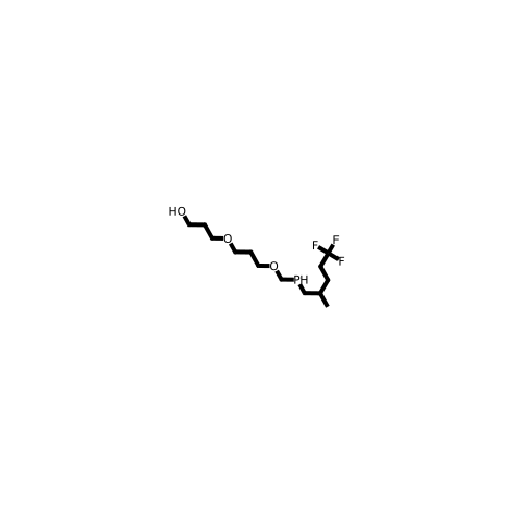 CC(CCC(F)(F)F)CPCOCCCOCCCO